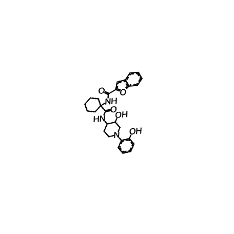 O=C(NC1(C(=O)NC2CCN(c3ccccc3O)CC2O)CCCCC1)c1cc2ccccc2o1